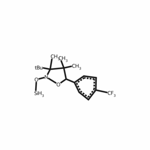 CC(C)(C)C1(C)N(O[SiH3])OC(c2ccc(C(F)(F)F)cc2)C1(C)C